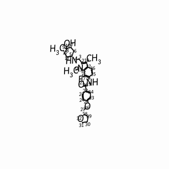 Cc1c(CNC2CCC(C)(O)CC2)n(C)c2c(F)c(NC(=O)c3ccc(OC[C@@H]4CCCO4)cc3)ccc12